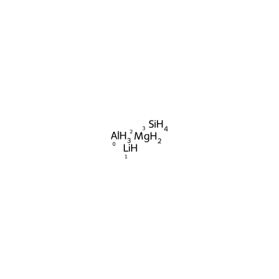 [AlH3].[LiH].[MgH2].[SiH4]